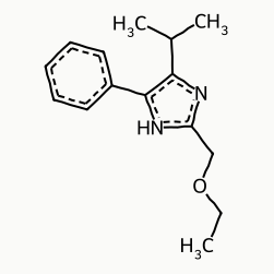 CCOCc1nc(C(C)C)c(-c2ccccc2)[nH]1